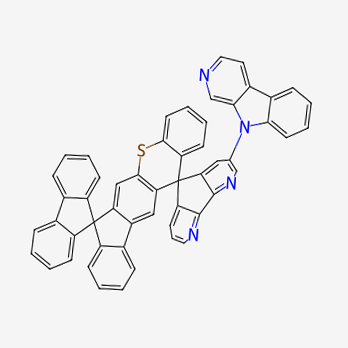 c1ccc2c(c1)Sc1cc3c(cc1C21c2cccnc2-c2ncc(-n4c5ccccc5c5ccncc54)cc21)-c1ccccc1C31c2ccccc2-c2ccccc21